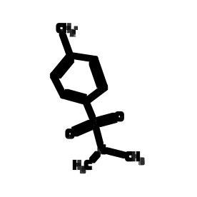 [CH2]c1ccc(S(=O)(=O)N(C)C)cc1